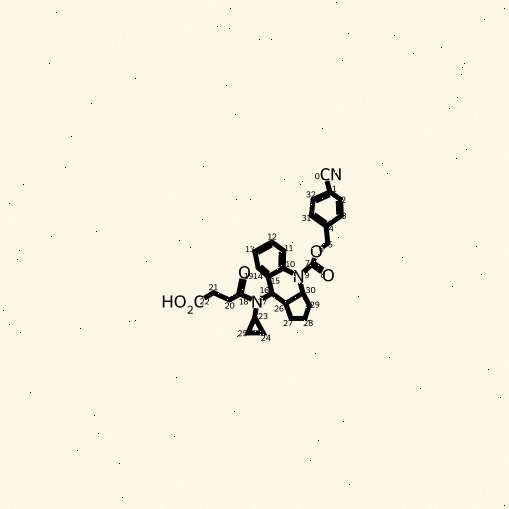 N#Cc1ccc(COC(=O)N2c3ccccc3C(N(C(=O)CCC(=O)O)C3CC3)C3CCCC32)cc1